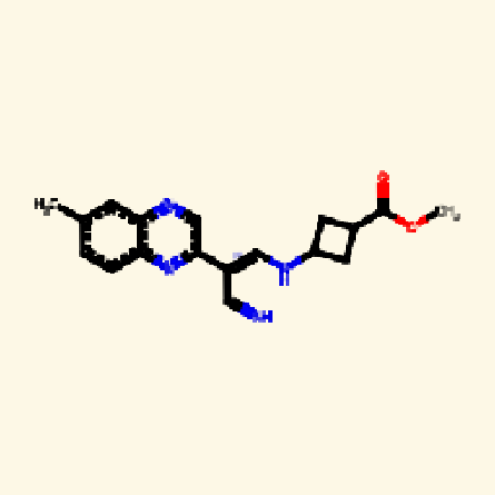 COC(=O)C1CC(N/C=C(\C=N)c2cnc3cc(C)ccc3n2)C1